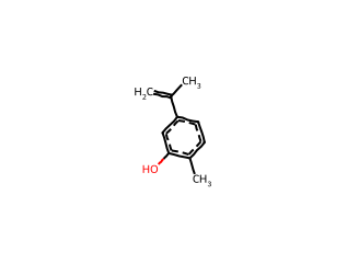 C=C(C)c1ccc(C)c(O)c1